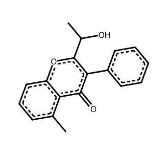 Cc1cccc2oc(C(C)O)c(-c3ccccc3)c(=O)c12